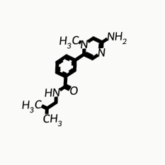 CC(C)CNC(=O)c1cccc(C2=CN=C(N)CN2C)c1